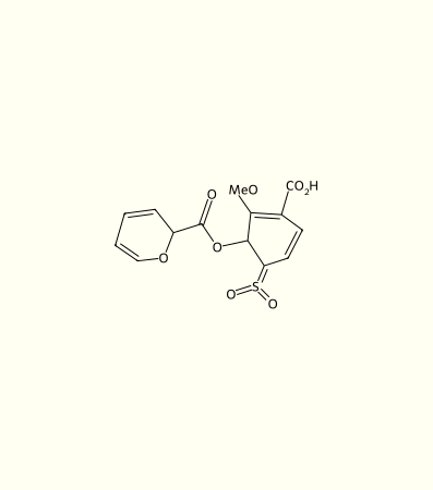 COC1=C(C(=O)O)C=CC(=S(=O)=O)C1OC(=O)C1C=CC=CO1